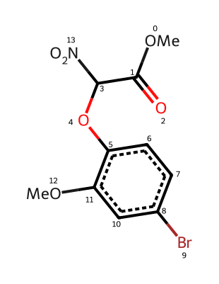 COC(=O)C(Oc1ccc(Br)cc1OC)[N+](=O)[O-]